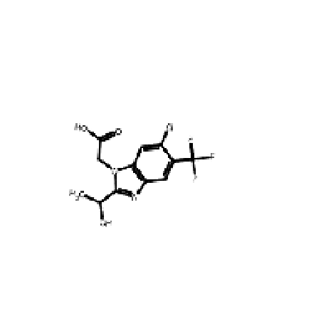 CC(O)c1nc2cc(C(F)(F)F)c(Cl)cc2n1CC(=O)O